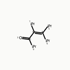 CC(C)C(=O)C(=C(C(C)C)C(C)C)C(C)C